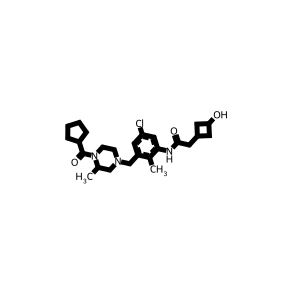 Cc1c(CN2CCN(C(=O)C3CCCC3)C(C)C2)cc(Cl)cc1NC(=O)CC1CC(O)C1